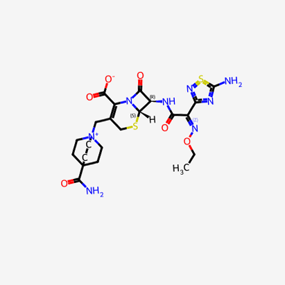 CCO/N=C(\C(=O)N[C@@H]1C(=O)N2C(C(=O)[O-])=C(C[N+]34CCC(C(N)=O)(CC3)CC4)CS[C@@H]12)c1nsc(N)n1